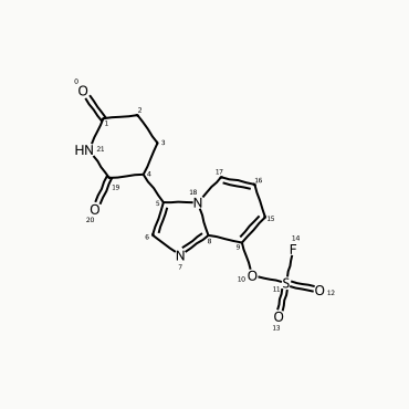 O=C1CCC(c2cnc3c(OS(=O)(=O)F)cccn23)C(=O)N1